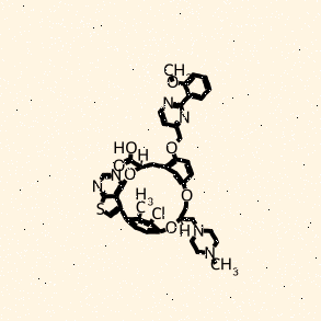 COc1ccccc1-c1nccc(COc2ccc3cc2C[C@H](C(=O)O)Oc2ncnc4scc(c24)-c2ccc(c(Cl)c2C)O[C@H](CN2CCN(C)CC2)CO3)n1